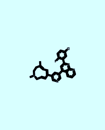 C\C1=C/C=C(c2cncc(-c3cc(-c4cc(Cl)ccc4F)nc4ncccc34)c2)\C=C\CN(C)CC1